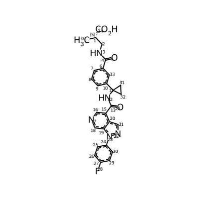 C[C@@H](CNC(=O)c1cccc(C2(NC(=O)c3cncc4c3cnn4-c3ccc(F)cc3)CC2)c1)C(=O)O